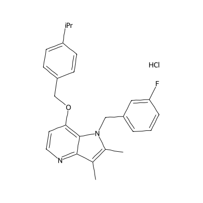 Cc1c(C)n(Cc2cccc(F)c2)c2c(OCc3ccc(C(C)C)cc3)ccnc12.Cl